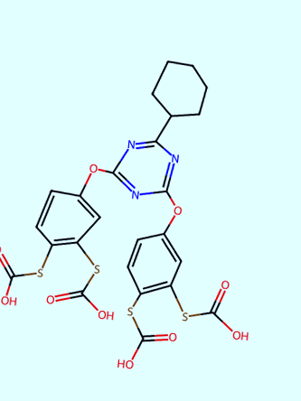 O=C(O)Sc1ccc(Oc2nc(Oc3ccc(SC(=O)O)c(SC(=O)O)c3)nc(C3CCCCC3)n2)cc1SC(=O)O